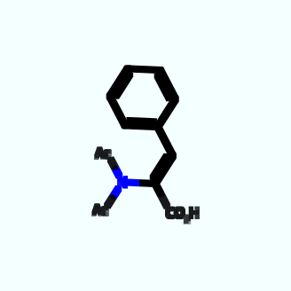 CC(=O)N(C(C)=O)C(=Cc1ccccc1)C(=O)O